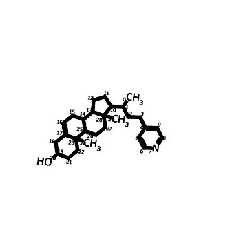 CC(CCc1ccncc1)C1CCC2C3CC=C4CC(O)CCC4(C)C3CCC12C